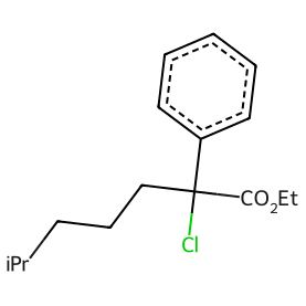 CCOC(=O)C(Cl)(CCCC(C)C)c1ccccc1